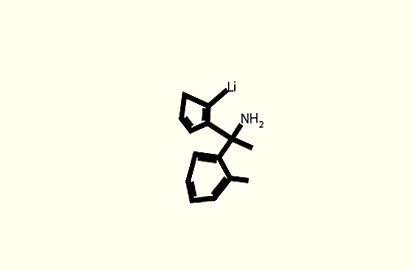 [Li][C]1=C(C(C)(N)c2ccccc2C)C=CC1